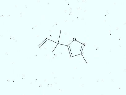 C=CC(C)(C)c1cc(C)no1